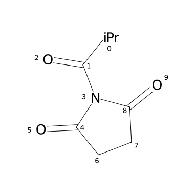 CC(C)C(=O)N1C(=O)CCC1=O